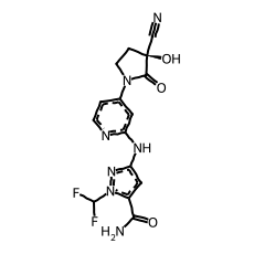 N#C[C@@]1(O)CCN(c2ccnc(Nc3cc(C(N)=O)n(C(F)F)n3)c2)C1=O